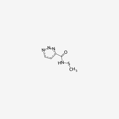 CSNC(=O)c1ccnnn1